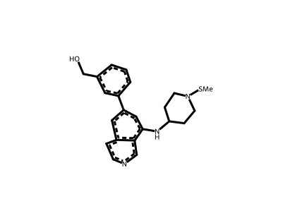 CSN1CCC(Nc2cc(-c3cccc(CO)c3)cc3ccncc23)CC1